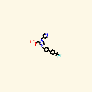 CC(C)(c1ccc(-c2ccc(CN3CCN(Cc4ccncc4)C(CC(=O)O)C3)cc2)cc1)C(F)(F)F